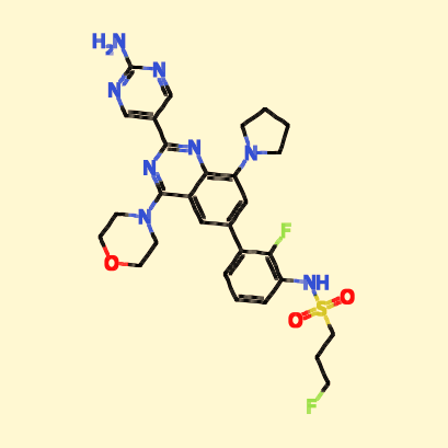 Nc1ncc(-c2nc(N3CCOCC3)c3cc(-c4cccc(NS(=O)(=O)CCCF)c4F)cc(N4CCCC4)c3n2)cn1